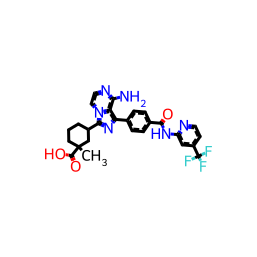 CC1(C(=O)O)CCCC(c2nc(-c3ccc(C(=O)Nc4cc(C(F)(F)F)ccn4)cc3)c3c(N)nccn23)C1